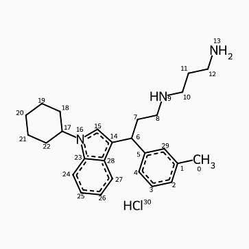 Cc1cccc(C(CCNCCCN)c2cn(C3CCCCC3)c3ccccc23)c1.Cl